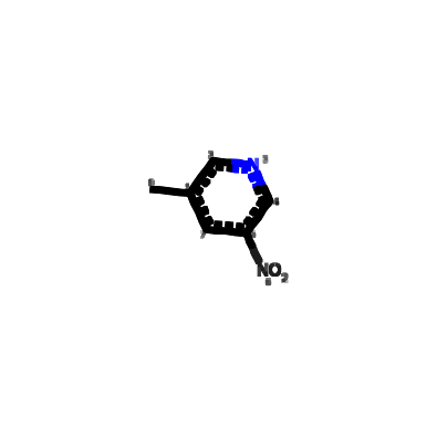 Cc1cn[c]c([N+](=O)[O-])c1